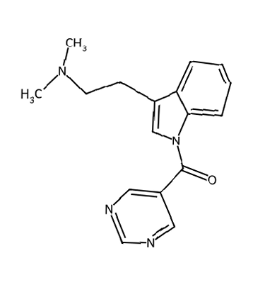 CN(C)CCc1cn(C(=O)c2cncnc2)c2ccccc12